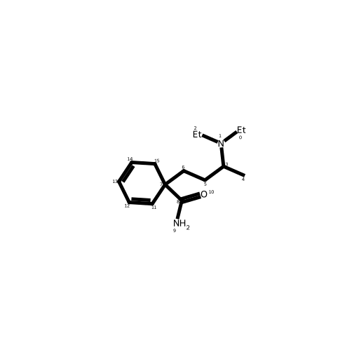 CCN(CC)C(C)CCC1(C(N)=O)C=CC=CC1